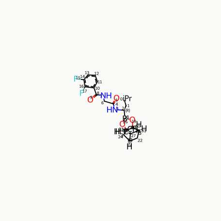 CC(C)C[C@H](NC(=O)CNC(=O)c1cccc(F)c1F)B1O[C@H]2[C@H]3C[C@@H](C[C@H]2O1)C3(C)C